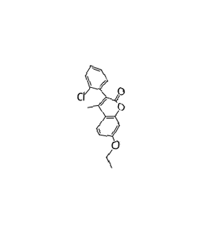 CCOc1ccc2c(C)c(-c3ccccc3Cl)c(=O)oc2c1